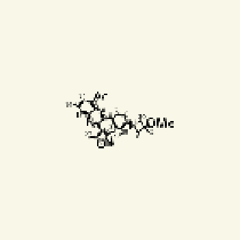 COC1(C)CN(c2ccc(-c3cc4c(C(C)=O)cc(C)cc4nc3-c3c(C)noc3C)cc2)C1